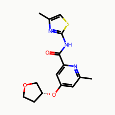 Cc1cc(O[C@@H]2CCOC2)cc(C(=O)Nc2nc(C)cs2)n1